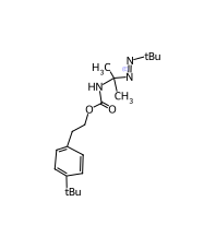 CC(C)(C)/N=N/C(C)(C)NC(=O)OCCc1ccc(C(C)(C)C)cc1